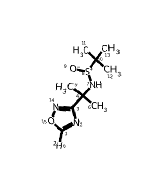 [2H]c1nc(C(C)(C)N[S+]([O-])C(C)(C)C)no1